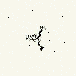 CO[Si](CCCN)(OC)OCN1CC1